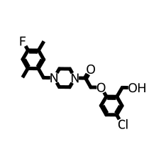 Cc1cc(CN2CCN(C(=O)COc3ccc(Cl)cc3CO)CC2)c(C)cc1F